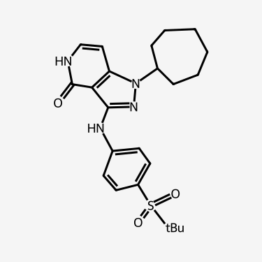 CC(C)(C)S(=O)(=O)c1ccc(Nc2nn(C3CCCCCC3)c3cc[nH]c(=O)c23)cc1